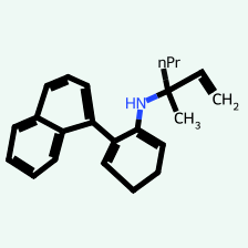 C=CC(C)(CCC)NC1=CCCC=C1c1cccc2ccccc12